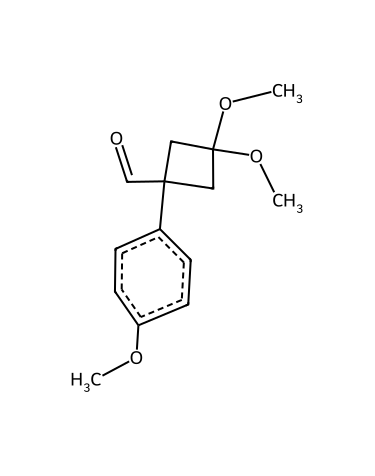 COc1ccc(C2(C=O)CC(OC)(OC)C2)cc1